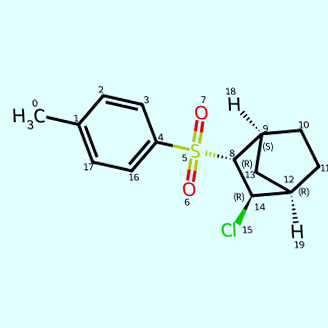 Cc1ccc(S(=O)(=O)[C@@H]2[C@H]3CC[C@H](C3)[C@H]2Cl)cc1